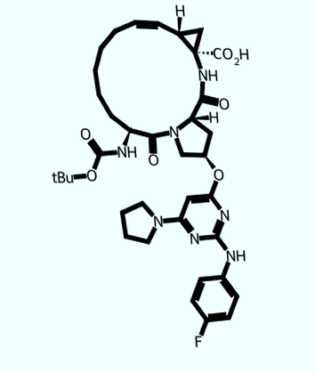 CC(C)(C)OC(=O)N[C@H]1CCCCC/C=C\[C@@H]2C[C@@]2(C(=O)O)NC(=O)[C@@H]2C[C@@H](Oc3cc(N4CCCC4)nc(Nc4ccc(F)cc4)n3)CN2C1=O